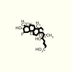 C[C@H](C(O)C/C=C/C(=O)O)[C@H]1CC[C@@]2(C)C3=C(CC[C@]12C)[C@@]1(C)C[C@@H](F)[C@H](O)C(C)(C)C1CC3